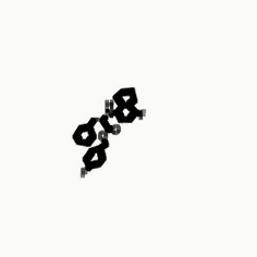 O=C(OCc1ccc(F)cc1)[C@H](Cc1ccccc1)Nc1ccc(F)c2ccccc12